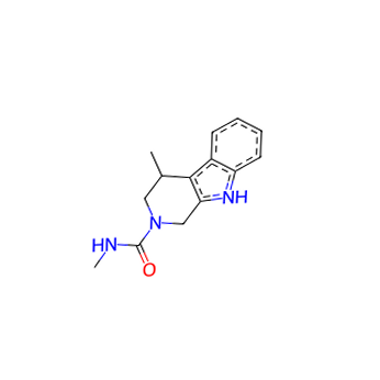 CNC(=O)N1Cc2[nH]c3ccccc3c2C(C)C1